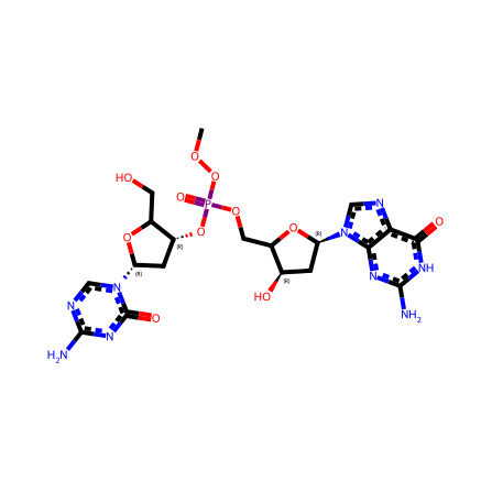 COOP(=O)(OCC1O[C@@H](n2cnc3c(=O)[nH]c(N)nc32)C[C@H]1O)O[C@@H]1C[C@H](n2cnc(N)nc2=O)OC1CO